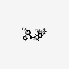 C[C@@H](NC(=O)C1CC1c1ccc(C(F)(F)F)nc1N1CCCC1)c1ccc(NS(C)(=O)=O)c(CO)c1